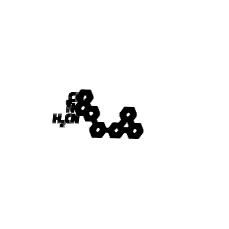 C=Nc1c(/N=C\C)c2ccccc2c2ccc(-c3cccc(-c4ccc5c6ccccc6c6ccccc6c5c4)c3)cc12